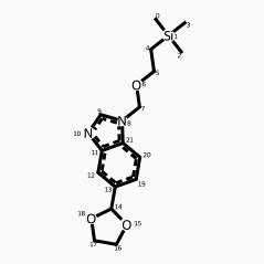 C[Si](C)(C)CCOCn1cnc2cc(C3OCCO3)ccc21